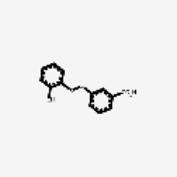 Cc1ccccc1SSc1cccc(C(=O)O)c1